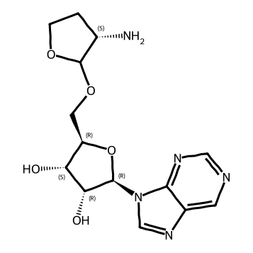 N[C@H]1CCOC1OC[C@H]1O[C@@H](n2cnc3cncnc32)[C@H](O)[C@@H]1O